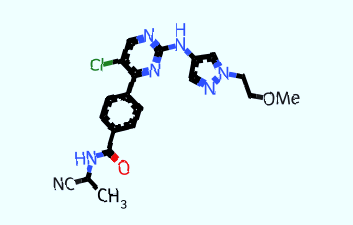 COCCn1cc(Nc2ncc(Cl)c(-c3ccc(C(=O)NC(C)C#N)cc3)n2)cn1